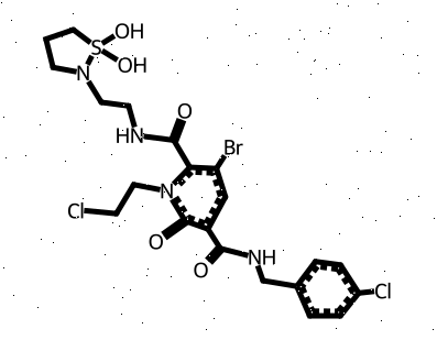 O=C(NCc1ccc(Cl)cc1)c1cc(Br)c(C(=O)NCCN2CCCS2(O)O)n(CCCl)c1=O